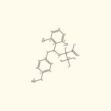 C=C(C)C(C)(OC(Cc1ccc(CO)cc1)c1c(Cl)cccc1Cl)C(C)(C)C